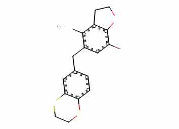 COc1c(Cc2ccc3c(c2)SCCO3)cc(Br)c2c1CCO2